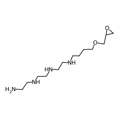 NCCNCCNCCNCCCCOCC1CO1